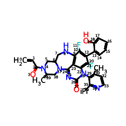 C=CC(=O)N1CC2CNc3c(F)c(-c4ccccc4O)c(F)c4c3c(nc(=O)n4-c3c(C)ccnc3C(C)C)N2CC1C